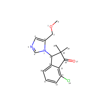 COCc1cncn1C1c2cccc(Cl)c2C(=O)C1(C)C